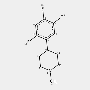 CN1CCC(c2cc(F)c(F)cc2F)CC1